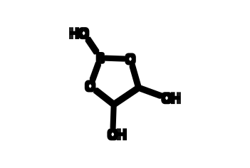 OB1OC(O)C(O)O1